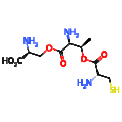 C[C@@H](OC(=O)[C@@H](N)CS)[C@H](N)C(=O)OC[C@H](N)C(=O)O